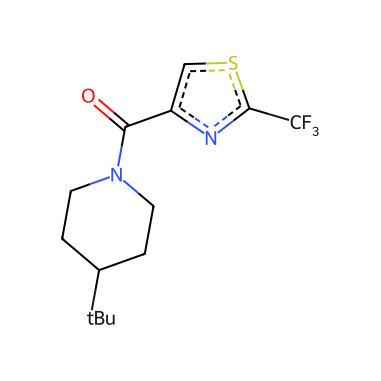 CC(C)(C)C1CCN(C(=O)c2csc(C(F)(F)F)n2)CC1